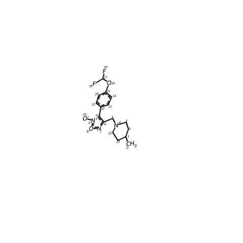 CC1CCN(Cc2no[n+]([O-])c2-c2ccc(OC(F)F)cc2)CC1